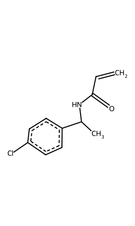 C=CC(=O)NC(C)c1ccc(Cl)cc1